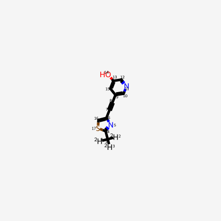 [2H]C([2H])([2H])c1nc(C#Cc2cncc(O)c2)cs1